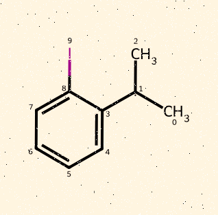 C[C](C)c1ccccc1I